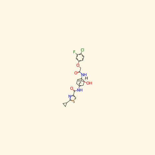 O=C(COc1ccc(Cl)c(F)c1)NC12CCC(NC(=O)c3csc(C4CC4)n3)(CC1)C[C@@H]2O